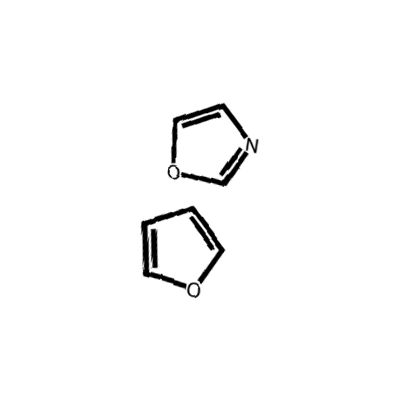 c1ccoc1.c1cocn1